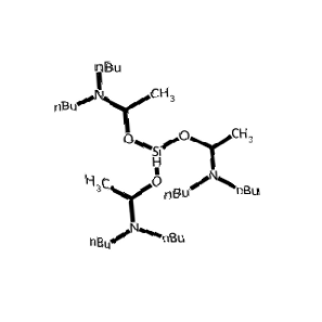 CCCCN(CCCC)C(C)O[SiH](OC(C)N(CCCC)CCCC)OC(C)N(CCCC)CCCC